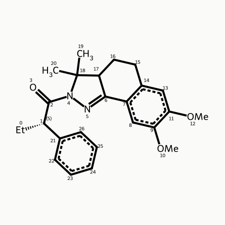 CC[C@H](C(=O)N1N=C2c3cc(OC)c(OC)cc3CCC2C1(C)C)c1ccccc1